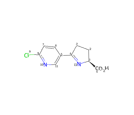 O=C(O)[C@@H]1CCC(c2ccc(Cl)nc2)=N1